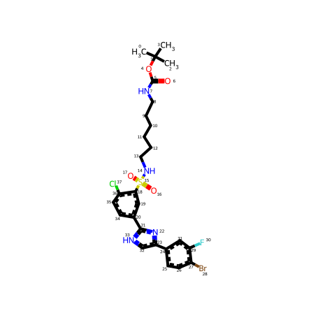 CC(C)(C)OC(=O)NCCCCCCNS(=O)(=O)c1cc(-c2nc(-c3ccc(Br)c(F)c3)c[nH]2)ccc1Cl